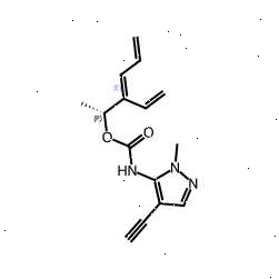 C#Cc1cnn(C)c1NC(=O)O[C@H](C)/C(C=C)=C/C=C